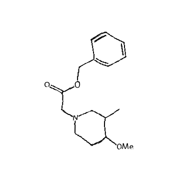 COC1CCN(CC(=O)OCc2ccccc2)CC1C